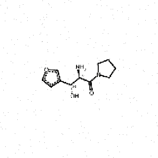 N[C@@H](C(=O)N1CCCC1)[C@H](O)c1ccoc1